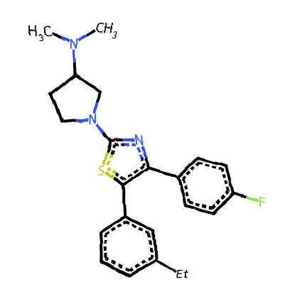 CCc1cccc(-c2sc(N3CCC(N(C)C)C3)nc2-c2ccc(F)cc2)c1